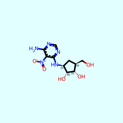 Nc1ncnc(N[C@H]2C[C@@H](CO)[C@H](O)[C@@H]2O)c1[N+](=O)[O-]